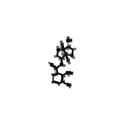 CC(=O)Oc1c(C(C)=O)cccc1C(=O)O[C@H]1CO[C@H]2[C@@H]1OC[C@H]2O